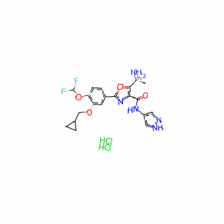 C[C@H](N)c1oc(-c2ccc(OC(F)F)c(OCC3CC3)c2)nc1C(=O)Nc1cn[nH]c1.Cl.Cl